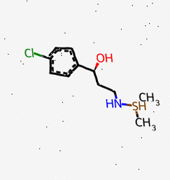 C[SH](C)NCC[C@H](O)c1ccc(Cl)cc1